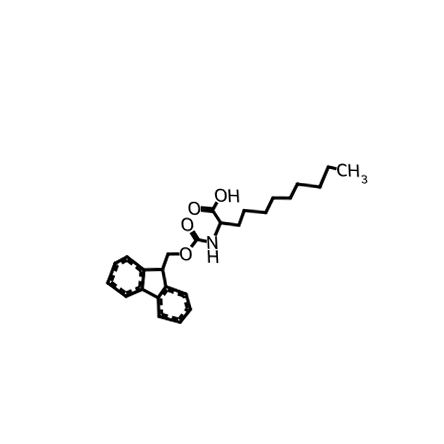 CCCCCCCCCC(NC(=O)OCC1c2ccccc2-c2ccccc21)C(=O)O